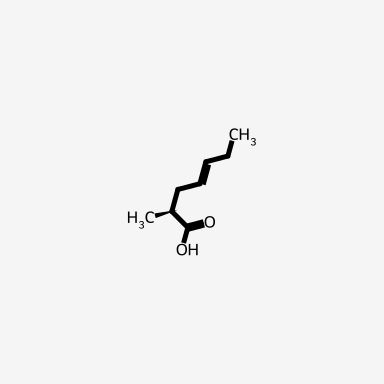 CCC=CC[C@H](C)C(=O)O